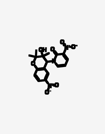 CC1(C)Oc2ccc([N+](=O)[O-])cc2C(n2cccc([N+](=O)[O-])c2=O)C1(C)O